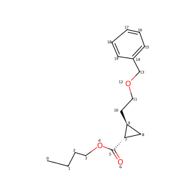 CCCCOC(=O)[C@H]1C[C@@H]1CCOCc1ccccc1